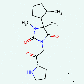 CC1CCCC1C1(C)C(=O)N(CC(=O)C2CCCN2)C(=O)N1C